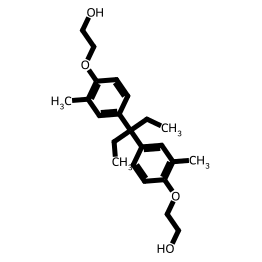 CCC(CC)(c1ccc(OCCO)c(C)c1)c1ccc(OCCO)c(C)c1